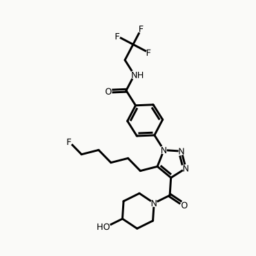 O=C(NCC(F)(F)F)c1ccc(-n2nnc(C(=O)N3CCC(O)CC3)c2CCCCCF)cc1